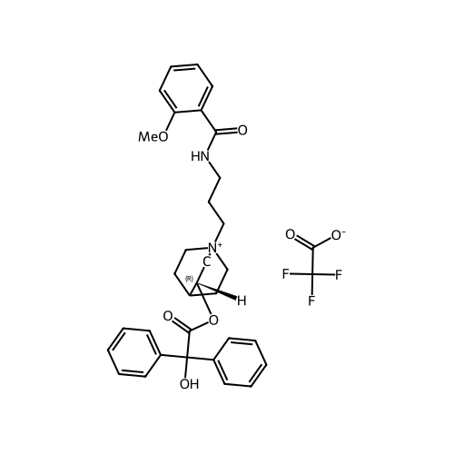 COc1ccccc1C(=O)NCCC[N+]12CCC(CC1)[C@@H](OC(=O)C(O)(c1ccccc1)c1ccccc1)C2.O=C([O-])C(F)(F)F